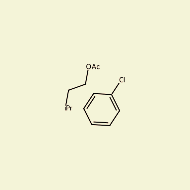 CC(=O)OCCC(C)C.Clc1ccccc1